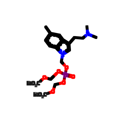 CCOC(=O)OCOP(=O)(OCOC(=O)OCC)OCn1cc(CCN(C)C)c2cc(C)ccc21